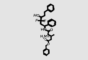 CC(CC(=O)OCc1ccccc1)[C@H](N)C(=O)NC(CC(F)(F)C(O)CCc1ccccc1)c1ccccc1